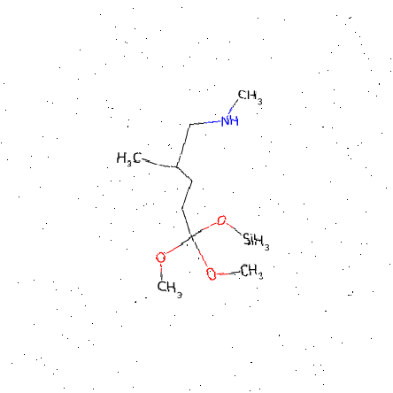 CNCC(C)CCC(OC)(OC)O[SiH3]